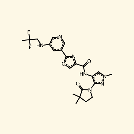 Cn1cc(NC(=O)c2coc(-c3cncc(NCC(C)(F)F)c3)n2)c(N2CCC(C)(C)C2=O)n1